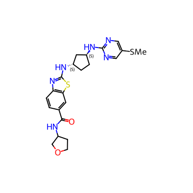 CSc1cnc(N[C@H]2CC[C@H](Nc3nc4ccc(C(=O)NC5CCOC5)cc4s3)C2)nc1